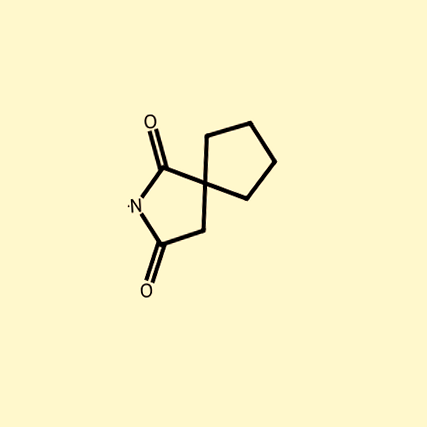 O=C1CC2(CCCC2)C(=O)[N]1